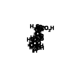 CC(C)CCC1(NO)C(=O)C(C2=NS(=O)(=O)c3cc(N(CC(=O)O)S(C)(=O)=O)ccc3N2)=C(O)c2ccccc21